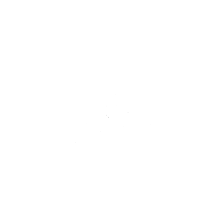 O=C(O)c1ccc(-n2c3ccc(C(=O)O)cc3c3cc(C(=O)O)ccc32)cc1